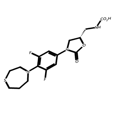 O=C(O)NC[C@H]1CN(c2cc(F)c(N3CCCSCC3)c(F)c2)C(=O)O1